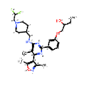 CNCC(O)COc1cccc(-c2nc(NCC3CCN(CC(F)F)CC3)c(C)c(-c3c(C)noc3C)n2)c1